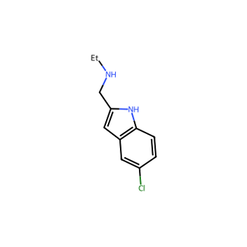 CCNCc1cc2cc(Cl)ccc2[nH]1